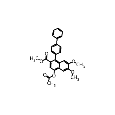 COC(=O)c1cc(OC(C)=O)c2cc(OC)c(OC)cc2c1-c1ccc(-c2ccccc2)cc1